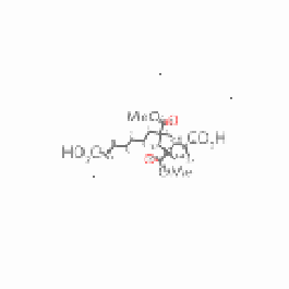 COC(=O)C(C)(CCCCCCC(=O)O)CC(C)(CC(C)C(=O)O)C(=O)OC